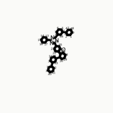 c1ccc(-c2cccc(-c3nc(-c4ccccc4)nc(-c4ccc5c(c4)oc4cccc(-c6cccc(-c7ccccc7)c6)c45)n3)c2)cc1